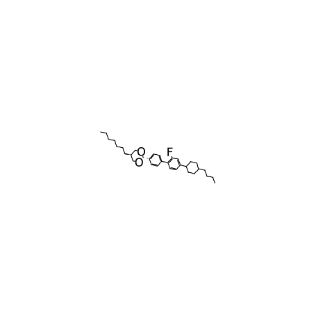 CCCCCCC[C@H]1CO[C@H](c2ccc(-c3ccc(C4CCC(CCCC)CC4)cc3F)cc2)OC1